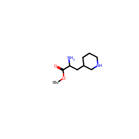 CC(C)(C)OC(=O)C(N)CC1CCCNC1